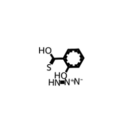 OC(=S)c1ccccc1O.[N-]=[N+]=N